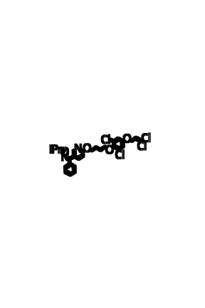 CC(C)ON=C(c1ccccc1)c1ccc(OCCCCOc2c(Cl)cc(OCC=C(Cl)Cl)cc2Cl)nc1